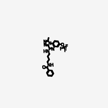 Cc1nnc2c(NCCCCNC(=O)c3ccccc3)nc3cc(OC(F)(F)F)ccc3n12